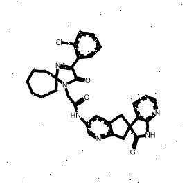 O=C(CN1C(=O)C(c2ccccc2Cl)=NC12CCCCCC2)Nc1cnc2c(c1)CC1(C2)C(=O)Nc2ncccc21